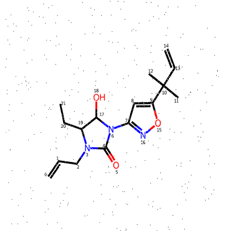 C=CCN1C(=O)N(c2cc(C(C)(C)C=C)on2)C(O)C1CC